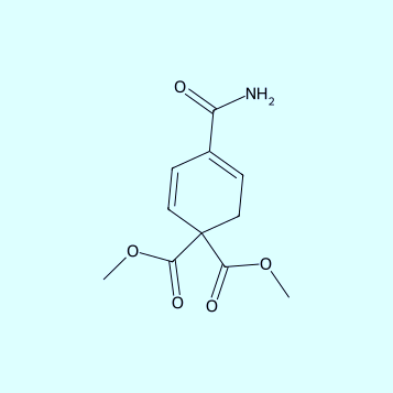 COC(=O)C1(C(=O)OC)C=CC(C(N)=O)=CC1